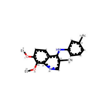 CCOc1ccc2c(Nc3cccc(C(C)=O)c3)c(C#N)cnc2c1OCC